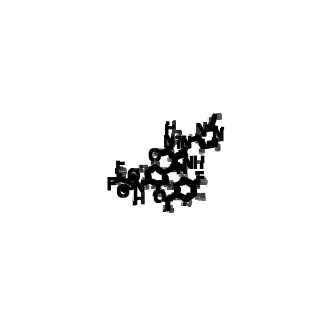 Cc1nccc(Nc2[nH]nc(-c3ccc(NS(=O)(=O)C(F)F)c(OC(C)c4ccc(F)cc4)c3)c2C(N)=O)n1